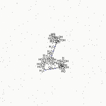 C=C[C@](C)(CC/C=C/CC/C=C(\C)CC/C=C(/C)COC1OC(C)C(OC2OC(COC3OC(C)C(O)C(O)C3OC(=O)/C(C)=C/C(O)C/C(C)=C/CC/C(C)=C/CC[C@@](C)(C=C)OC3OC(CO)C(O)C(O)C3OC3OC(CO)C(O)C(O)C3O)C(O)C(O)C2O)C(O)C1O)OC1OC(CO)C(O)C(O)C1OC1OC(CO)C(O)C(O)C1O